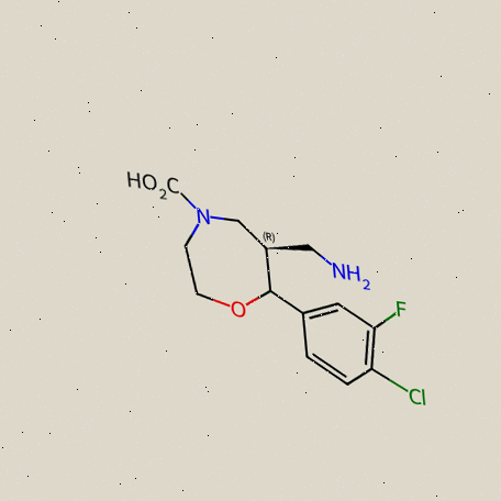 NC[C@@H]1CN(C(=O)O)CCOC1c1ccc(Cl)c(F)c1